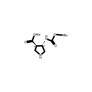 COC(=O)[C@@H]1CNC[C@H]1NC(=O)OC(C)(C)C